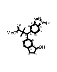 COC(=O)C(C)(C)C(c1ccc2c(c1)C(O)CC2)c1ccc2c(c1)nnn2I